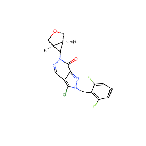 O=c1c2nn(Cc3c(F)cccc3F)c(Cl)c2cnn1C1[C@H]2COC[C@@H]12